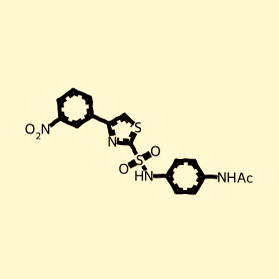 CC(=O)Nc1ccc(NS(=O)(=O)c2nc(-c3cccc([N+](=O)[O-])c3)cs2)cc1